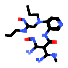 CCCNC(CN(CCC)c1ccncc1NC(=O)C(C(N)N=O)C(N)NC)N=O